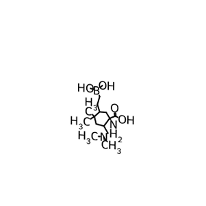 CN(C)CC1CC(C)(C)C(CCB(O)O)CC1(N)C(=O)O